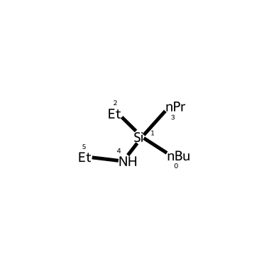 CCCC[Si](CC)(CCC)NCC